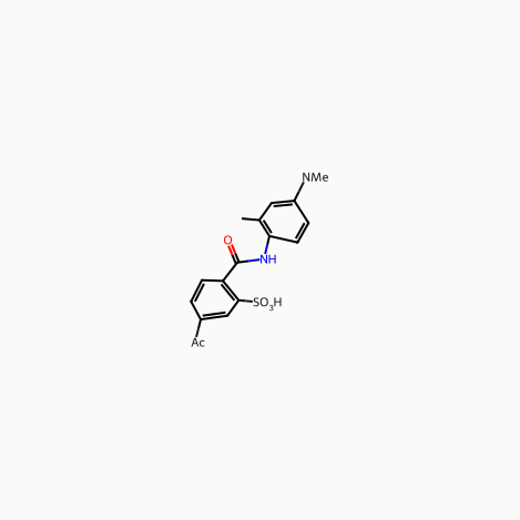 CNc1ccc(NC(=O)c2ccc(C(C)=O)cc2S(=O)(=O)O)c(C)c1